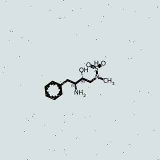 CN(C[C@@H](O)[C@@H](N)Cc1ccccc1)[SH](=O)=O